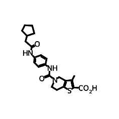 Cc1c(C(=O)O)sc2c1CN(C(=O)Nc1ccc(NC(=O)CC3CCCC3)cc1)CC2